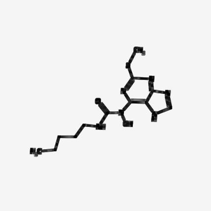 CCCCCNC(=O)N(O)c1nc(SC)nc2nc[nH]c12